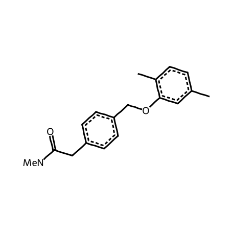 CNC(=O)Cc1ccc(COc2cc(C)ccc2C)cc1